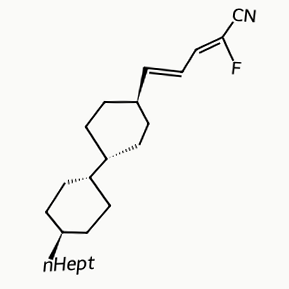 CCCCCCC[C@H]1CC[C@H]([C@H]2CC[C@H](C=CC=C(F)C#N)CC2)CC1